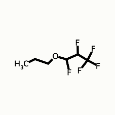 CCCOC(F)C(F)C(F)(F)F